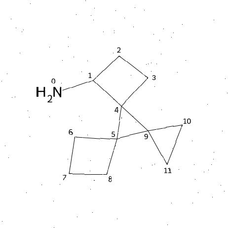 NC1CCC12C1(CCC1)C21CC1